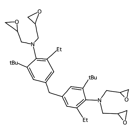 CCc1cc(Cc2cc(CC)c(N(CC3CO3)CC3CO3)c(C(C)(C)C)c2)cc(C(C)(C)C)c1N(CC1CO1)CC1CO1